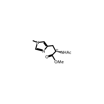 COC(=O)[C@@H](Cc1cn(C)cn1)NC(C)=O